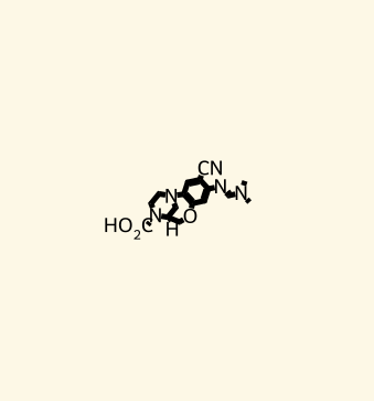 CN(C)C=Nc1cc2c(cc1C#N)N1CCN(C(=O)O)[C@H](CO2)C1